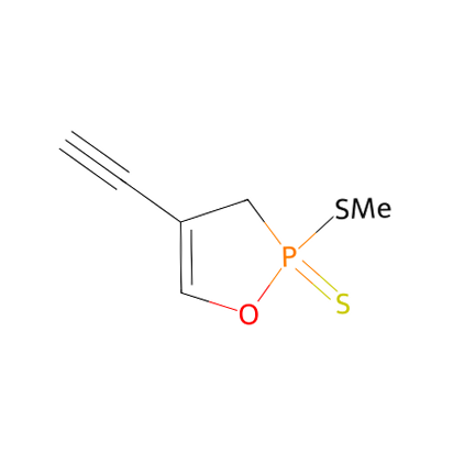 C#CC1=COP(=S)(SC)C1